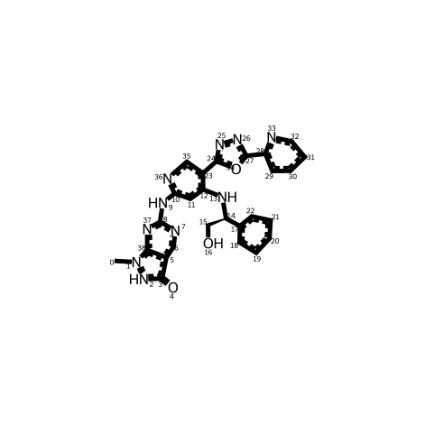 Cn1[nH]c(=O)c2cnc(Nc3cc(N[C@H](CO)c4ccccc4)c(-c4nnc(-c5ccccn5)o4)cn3)nc21